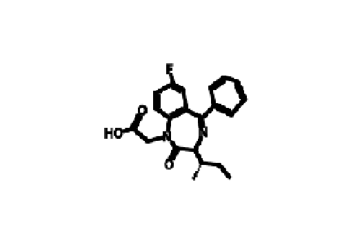 CC[C@H](C)C1N=C(c2ccccc2)c2cc(F)ccc2N(CC(=O)O)C1=O